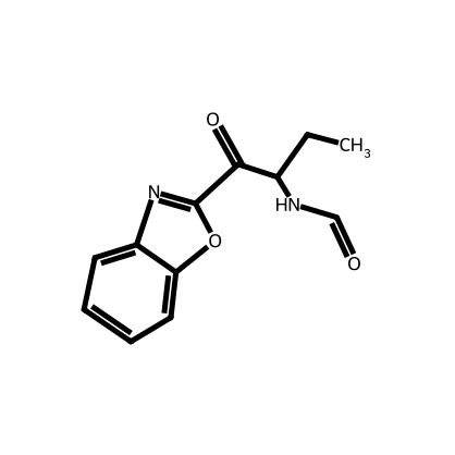 CCC(NC=O)C(=O)c1nc2ccccc2o1